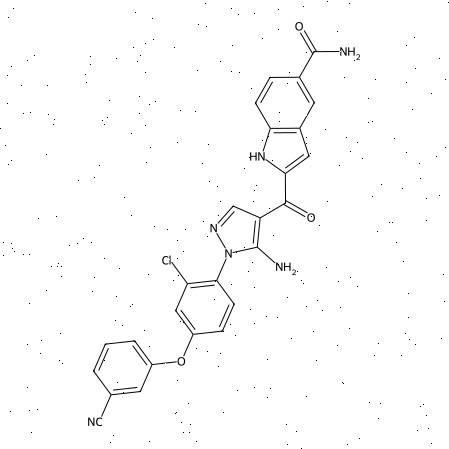 N#Cc1cccc(Oc2ccc(-n3ncc(C(=O)c4cc5cc(C(N)=O)ccc5[nH]4)c3N)c(Cl)c2)c1